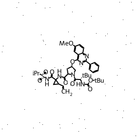 C=CC1CC1(NC(=O)C1C[C@@H](Oc2nc(-c3ccccc3)nc3ccc(OC)cc23)CN1C(=O)[C@@H](NC(=O)OC(C)(C)C)C(C)(C)C)C(=O)NS(=O)(=O)C(C)C